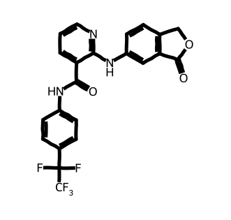 O=C1OCc2ccc(Nc3ncccc3C(=O)Nc3ccc(C(F)(F)C(F)(F)F)cc3)cc21